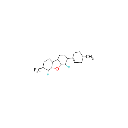 CC1CC=C(C2CCC3C4CCC(C(F)(F)F)C(F)C4OC3C2F)CC1